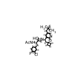 CC(=O)N[C@@H](Cc1ccc(F)c(Cl)c1)[C@@H](O)CN[C@H]1CC2(CCC2)Oc2ncc(CC(C)(C)F)cc21